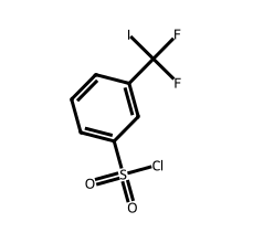 O=S(=O)(Cl)c1cccc(C(F)(F)I)c1